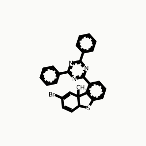 CC12C=C(Br)C=CC1Sc1cccc(-c3nc(-c4ccccc4)nc(-c4ccccc4)n3)c12